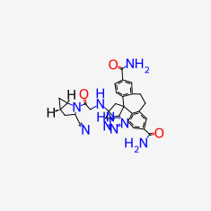 N#CC1C[C@@H]2C[C@@H]2N1C(=O)CNC1(CC2(c3nnn[nH]3)c3ccc(C(N)=O)cc3CCc3cc(C(N)=O)ccc32)CC1